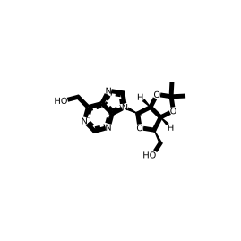 CC1(C)O[C@@H]2[C@H](O1)[C@@H](CO)O[C@H]2n1cnc2c(CO)ncnc21